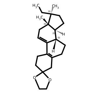 CC[C@@]1(C)CC[C@H]2[C@@H]3CCC4=C(CCC5(C4)OCCO5)C3=CC[C@@]21C